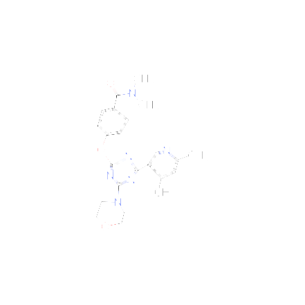 Cc1cc(C)c(-c2nc(Oc3ccc(C(=O)N(C)C)cc3)nc(N3CCOCC3)n2)cn1